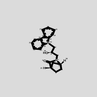 O=C1[C@H]2CC[C@H](C2)N1C[C@H](O)Cn1c2ccccc2c2ccccc21